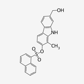 Cc1c(OS(=O)(=O)c2cccc3ccccc23)ccc2c1[nH]c1cc(CO)ccc12